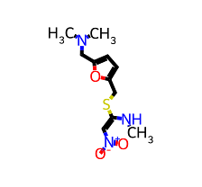 CN/C(=C\[N+](=O)[O-])SCc1ccc(CN(C)C)o1